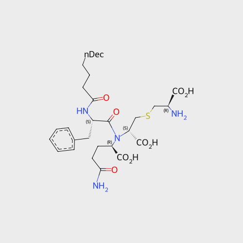 CCCCCCCCCCCCCC(=O)N[C@@H](Cc1ccccc1)C(=O)N([C@H](CCC(N)=O)C(=O)O)[C@H](CSC[C@H](N)C(=O)O)C(=O)O